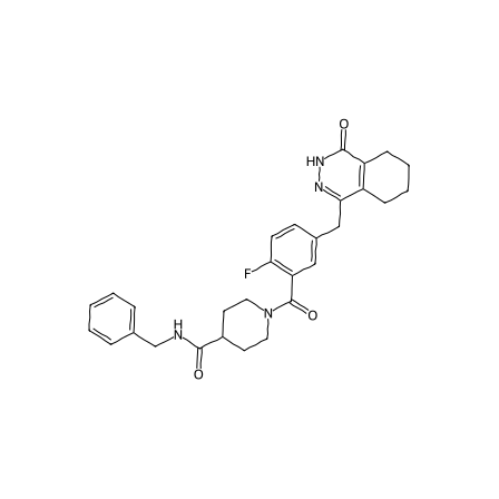 O=C(NCc1ccccc1)C1CCN(C(=O)c2cc(Cc3n[nH]c(=O)c4c3CCCC4)ccc2F)CC1